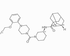 CCOc1ccccc1N1CCN(C(=O)N2CCC[C@H](NC(=O)C34CC5CC(C3)C(O)[C@H](C5)C4)C2)CC1